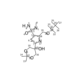 CN=S(N)(=O)c1sc(C2(O)COC(C)(C)OC2)nc1CO[Si](C)(C)C(C)(C)C